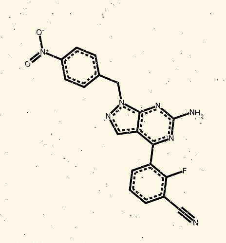 N#Cc1cccc(-c2nc(N)nc3c2cnn3Cc2ccc([N+](=O)[O-])cc2)c1F